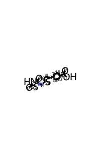 O=C1NC(=O)/C(=C\c2ccc(-c3ccc(C(=O)O)cc3)s2)S1